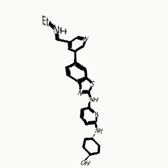 CCNCc1cncc(-c2ccc3nc(Nc4cccc(N[C@H]5CC[C@H](O)CC5)n4)sc3c2)c1